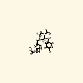 CC(=O)Nc1ncc(CN2C[C@@H](Cc3ccc(C)nc3)N(C(C)=O)C[C@@H]2C)s1